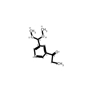 CCC(=O)c1cncc(C(OC)OC)c1